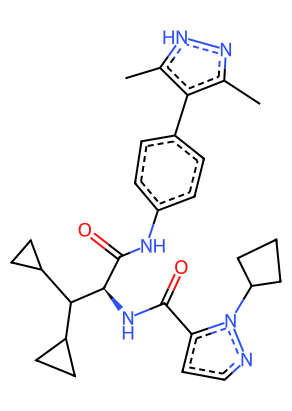 Cc1n[nH]c(C)c1-c1ccc(NC(=O)[C@@H](NC(=O)c2ccnn2C2CCC2)C(C2CC2)C2CC2)cc1